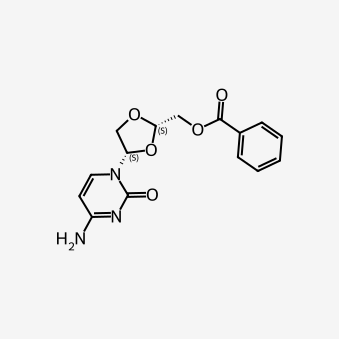 Nc1ccn([C@@H]2CO[C@H](COC(=O)c3ccccc3)O2)c(=O)n1